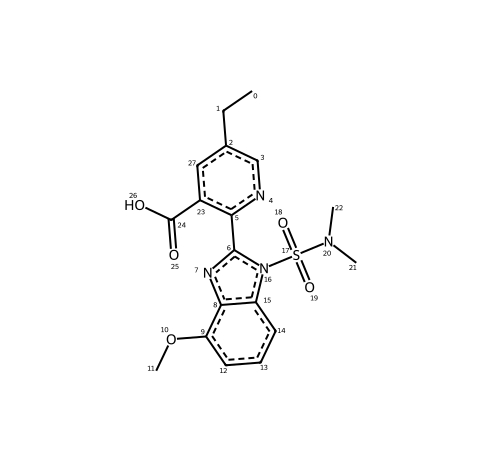 CCc1cnc(-c2nc3c(OC)cccc3n2S(=O)(=O)N(C)C)c(C(=O)O)c1